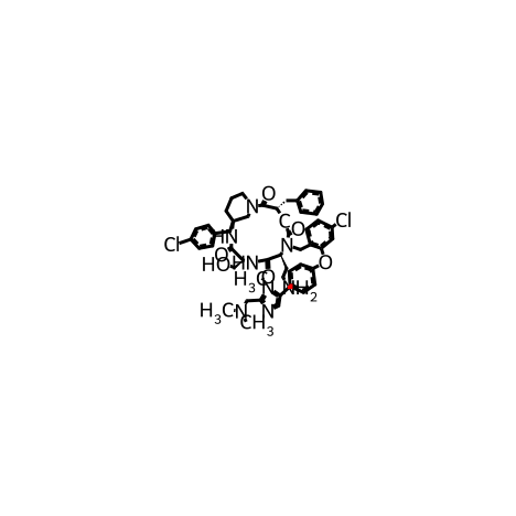 CN(C)Cc1ncc(-c2ccc(Oc3cc(Cl)ccc3CN3C(=O)C[C@@H](Cc4ccccc4)C(=O)N4CCCC(Cc5ccc(Cl)cc5)(C4)NC(=O)[C@H](CO)NC(=O)[C@@H]3CCN)cc2)n1C